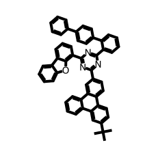 CC(C)(C)c1ccc2c3ccc(-c4nc(-c5ccccc5-c5ccc(-c6ccccc6)cc5)nc(-c5cccc6c5oc5ccccc56)n4)cc3c3ccccc3c2c1